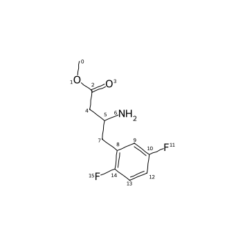 COC(=O)CC(N)Cc1cc(F)ccc1F